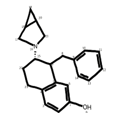 Oc1ccc2c(c1)C(Cc1ccccc1)[C@@H](N1CC3CC3C1)CC2